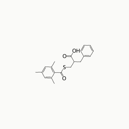 Cc1cc(C)c(C(=O)SCC(Cc2ccccc2)C(=O)O)c(C)c1